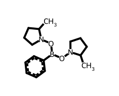 CC1CCCN1OB(ON1CCCC1C)c1ccccc1